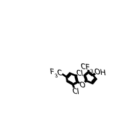 Oc1ccc(Oc2c(Cl)cc(C(F)(F)F)cc2Cl)cc1C(F)(F)F